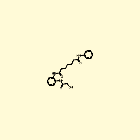 O=C(CCCCCC(=O)Nc1ccccc1NC(=O)CO)Nc1ccccc1